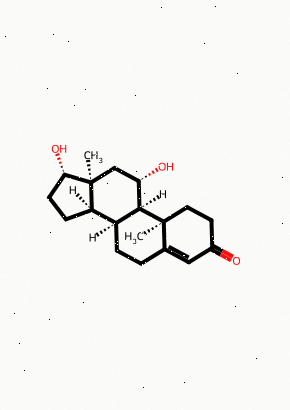 C[C@]12C[C@H](O)[C@@H]3[C@@H](CCC4=CC(=O)CC[C@@]43C)[C@H]1CC[C@@H]2O